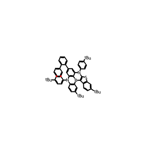 CC(C)(C)c1ccc(N2c3ccc(C(C)(C)C)cc3B3c4c2cc(-c2ccccc2-c2ccccc2)cc4N(c2ccc(C(C)(C)C)cc2)c2sc4cc(C(C)(C)C)ccc4c23)cc1